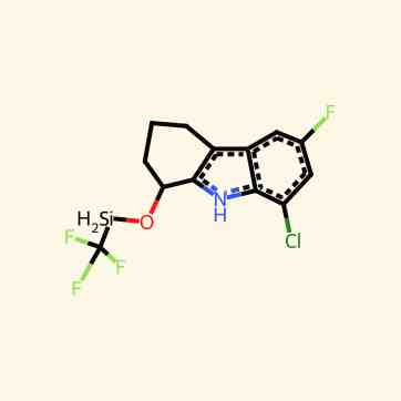 Fc1cc(Cl)c2[nH]c3c(c2c1)CCCC3O[SiH2]C(F)(F)F